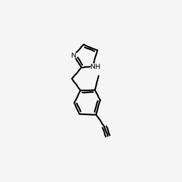 C#Cc1ccc(Cc2ncc[nH]2)c(C)c1